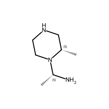 C[C@@H](N)N1CCNC[C@@H]1C